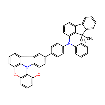 CC1(C)c2ccccc2-c2cccc(N(c3ccccc3)c3ccc(-c4cc5c6c(c4)c4cccc7c4n6-c4c(cccc4O5)O7)cc3)c21